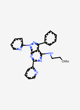 COCCNc1nc(-c2ccccn2)nc2c1c(-c1ccccc1)nn2-c1ccccn1